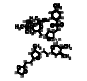 C=C1C[C@H](CC[C@@H]2O[C@@H](CCC3OCCO3)CC2=C)O[C@H](C[C@@H]2O[C@H](CC(CO[Si](C)(C)C(C)(C)C)O[Si](C)(C)C(C)(C)C)C[C@H]2CS(=O)(=O)c2ccc(C)cc2)C1=C